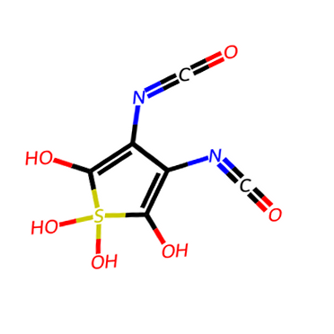 O=C=NC1=C(O)S(O)(O)C(O)=C1N=C=O